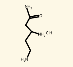 Cl.NCCC(N)CC(N)=O